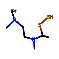 CC(C)N(C)CCN(C)C(C)SS